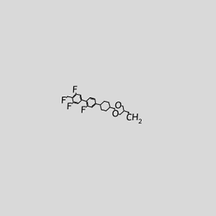 C=CC1COC(C2CCC(c3ccc(-c4cc(F)c(CF)c(F)c4)c(F)c3)CC2)OC1